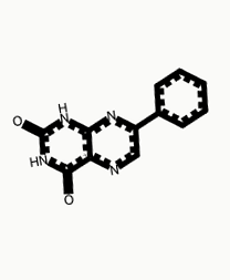 O=c1[nH]c(=O)c2ncc(-c3ccccc3)nc2[nH]1